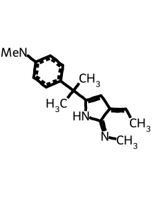 C/C=C1/C=C(C(C)(C)c2ccc(NC)cc2)N/C1=N/C